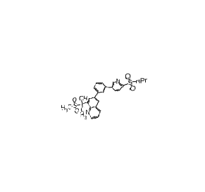 CCCS(=O)(=O)c1ccc(-c2cccc(-c3cc(C(C)(C)S(C)(=O)=O)c4ncccc4c3)c2)cn1